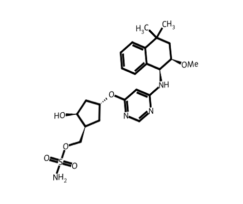 CO[C@@H]1CC(C)(C)c2ccccc2[C@@H]1Nc1cc(O[C@@H]2C[C@@H](COS(N)(=O)=O)[C@@H](O)C2)ncn1